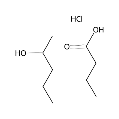 CCCC(=O)O.CCCC(C)O.Cl